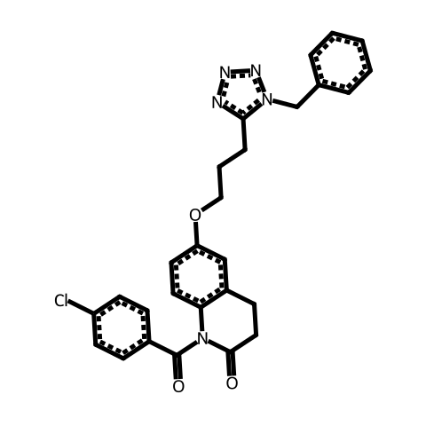 O=C1CCc2cc(OCCCc3nnnn3Cc3ccccc3)ccc2N1C(=O)c1ccc(Cl)cc1